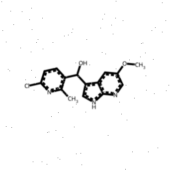 COc1cnc2[nH]cc(C(O)c3ccc(Cl)nc3C)c2c1